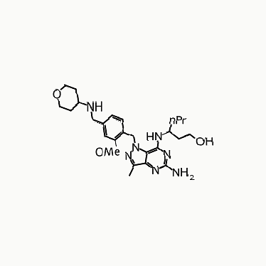 CCCC(CCO)Nc1nc(N)nc2c(C)nn(Cc3ccc(CNC4CCOCC4)cc3OC)c12